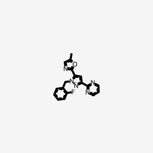 Cc1cnc(-c2cc(-c3ncccn3)nn2Cc2ccccc2F)o1